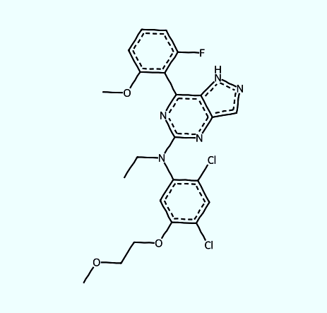 CCN(c1nc(-c2c(F)cccc2OC)c2[nH]ncc2n1)c1cc(OCCOC)c(Cl)cc1Cl